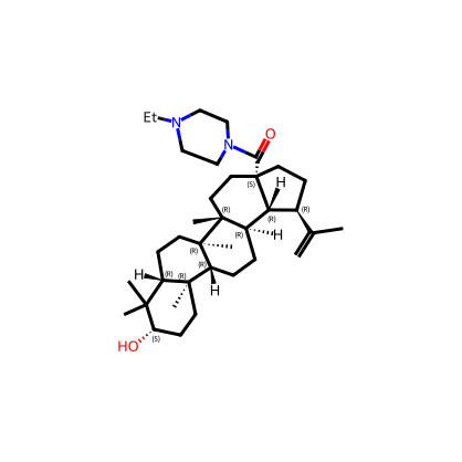 C=C(C)[C@@H]1CC[C@]2(C(=O)N3CCN(CC)CC3)CC[C@]3(C)[C@H](CC[C@@H]4[C@@]5(C)CC[C@H](O)C(C)(C)[C@@H]5CC[C@]43C)[C@@H]12